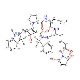 CN1/C(=C/C2=C(N3CCC[C@@H]3C(=O)N[C@@H](CS(=O)(=O)O)C(=O)NCCCCC(=O)ON3C(=O)CCC3=O)C(=C/C3=[N+](C)c4ccccc4C3(C)C)/C2=O)C(C)(C)c2ccccc21